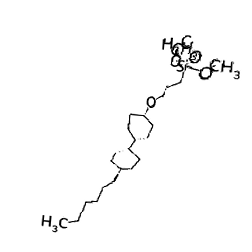 CCCCCC[C@H]1CC[C@H]([C@H]2CC[C@H](OCCC[Si](OC)(OC)OC)CC2)CC1